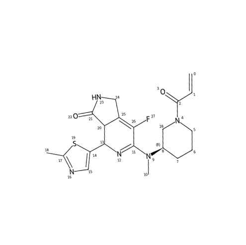 C=CC(=O)N1CCC[C@@H](N(C)C2=NC(c3cnc(C)s3)C3C(=O)NCC3=C2F)C1